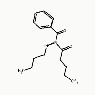 CCCCNN(C(=O)CCCC)C(=O)c1ccccc1